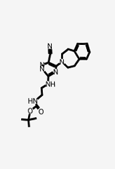 CC(C)(C)OC(=O)NCCNc1nnc(C#N)c(N2CCc3ccccc3CC2)n1